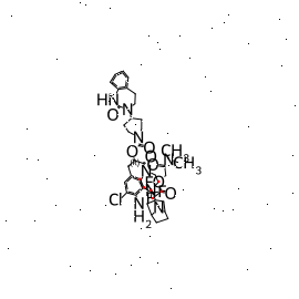 CN(C)C(=O)COC(=O)CN1C2CCC1CC(N1CCN(C(=O)[C@@H](Cc3cc(Cl)c(N)c(C(F)(F)F)c3)OC(=O)N3CCC(N4CCc5ccccc5NC4=O)CC3)CC1)C2